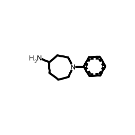 NC1CCCN(c2ccccc2)CC1